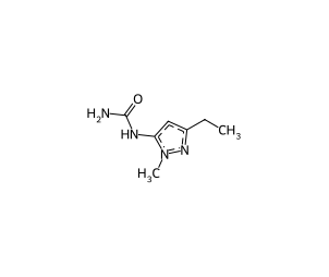 CCc1cc(NC(N)=O)n(C)n1